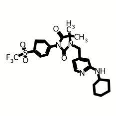 CC1(C)C(=O)N(c2ccc(S(=O)(=O)C(F)(F)F)cc2)C(=O)N1Cc1ccnc(NC2CCCCC2)c1